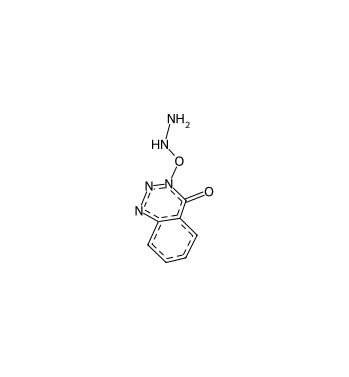 NNOn1nnc2ccccc2c1=O